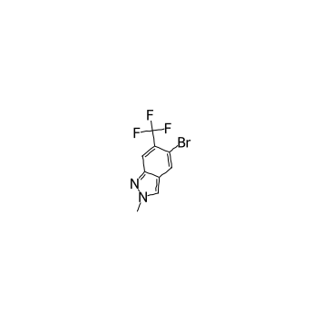 Cn1cc2cc(Br)c(C(F)(F)F)cc2n1